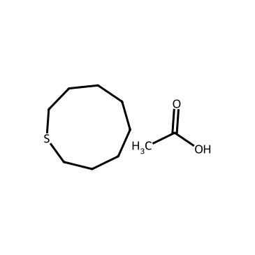 C1CCCCSCCC1.CC(=O)O